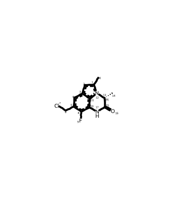 Cc1cc2cc(CCl)c(F)c3c2n1[C@H](C)C(=O)N3